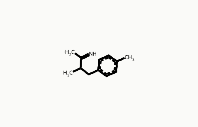 [CH2]C(=N)C(C)Cc1ccc(C)cc1